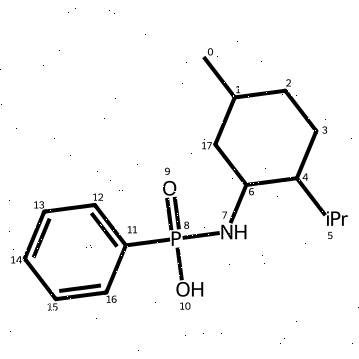 CC1CCC(C(C)C)C(NP(=O)(O)c2ccccc2)C1